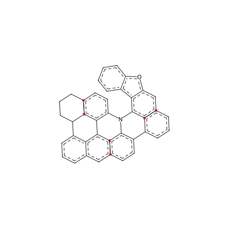 c1ccc(-c2ccccc2N(c2ccccc2-c2cccc3cccc(C4CCCCC4)c23)c2cccc3oc4ccccc4c23)cc1